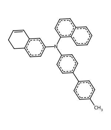 Cc1ccc(-c2ccc(N(c3ccc4c(c3)C=CCC4)c3cccc4ccccc34)cc2)cc1